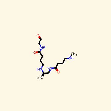 C=C(CNC(=O)CCCNC)NCCCC(=O)NCC=O